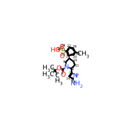 CC(C)(C)OC(=O)N1CCCCC1C1=CC(N)=N1.Cc1ccc(S(=O)(=O)O)cc1